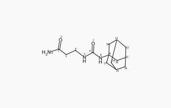 NC(=O)CCNC(=O)NC12CC3CC(CC(C3)C1)C2